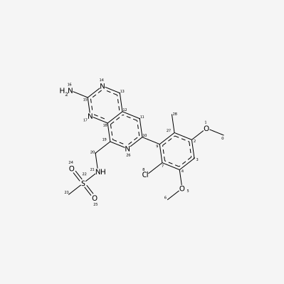 COc1cc(OC)c(Cl)c(-c2cc3cnc(N)nc3c(CNS(C)(=O)=O)n2)c1C